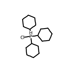 Cl[PH](C1CCCCC1)(C1CCCCC1)C1CCCCC1